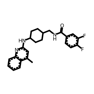 Cc1cc(NC2CCC(CNC(=O)c3ccc(F)c(F)c3)CC2)nc2ccccc12